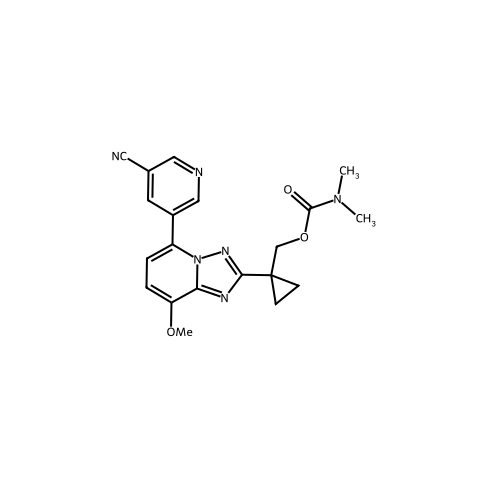 COc1ccc(-c2cncc(C#N)c2)n2nc(C3(COC(=O)N(C)C)CC3)nc12